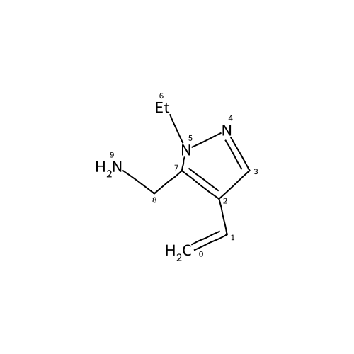 C=Cc1cnn(CC)c1CN